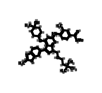 CNC(=O)c1ccc(Nc2nc(OC3CCC(C)(O)CC3)c3c(-c4ccc5nc(C)oc5c4)cn(COCC[Si](C)(C)C)c3n2)c(C)c1